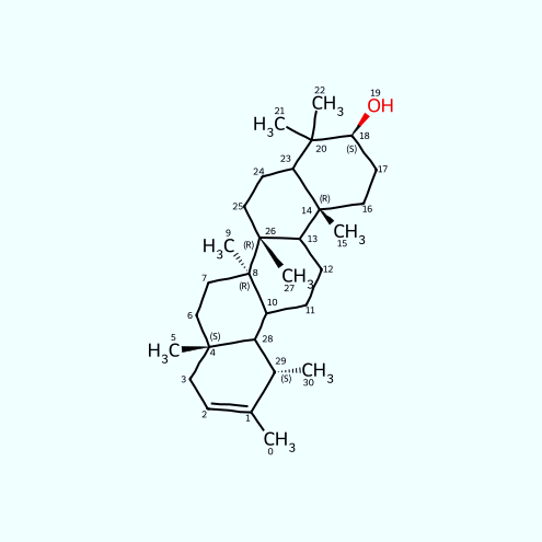 CC1=CC[C@]2(C)CC[C@]3(C)C(CCC4[C@@]5(C)CC[C@H](O)C(C)(C)C5CC[C@]43C)C2[C@@H]1C